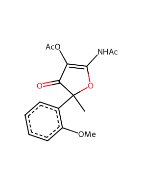 COc1ccccc1C1(C)OC(NC(C)=O)=C(OC(C)=O)C1=O